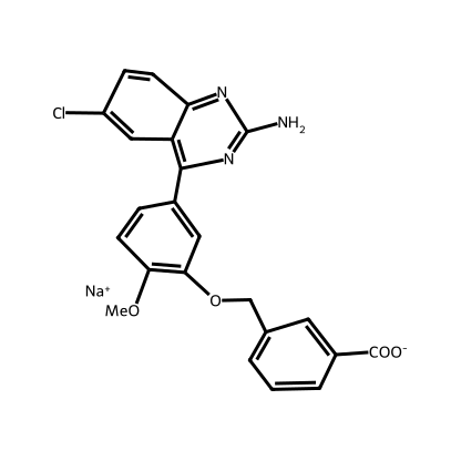 COc1ccc(-c2nc(N)nc3ccc(Cl)cc23)cc1OCc1cccc(C(=O)[O-])c1.[Na+]